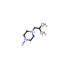 CC(C)CN1CCN(I)CC1